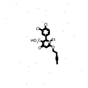 CC#CCCOc1cc(=O)c(C(=O)O)c(-c2ccc(Cl)c(Cl)c2)n1CC